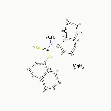 CN(C(=S)Sc1cccc2ccccc12)c1cccc2ccccc12.[MgH2]